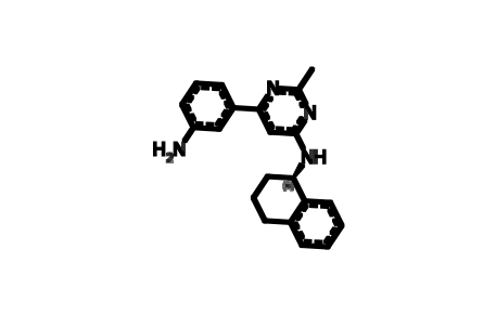 Cc1nc(N[C@@H]2CCCc3ccccc32)cc(-c2cccc(N)c2)n1